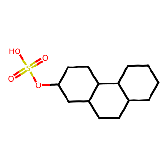 O=S(=O)(O)OC1CCC2C(CCC3CCCCC32)C1